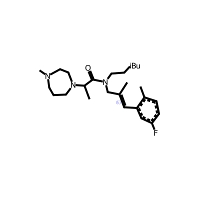 CCC(C)CCN(C/C(C)=C/c1cc(F)ccc1C)C(=O)C(C)N1CCCN(C)CC1